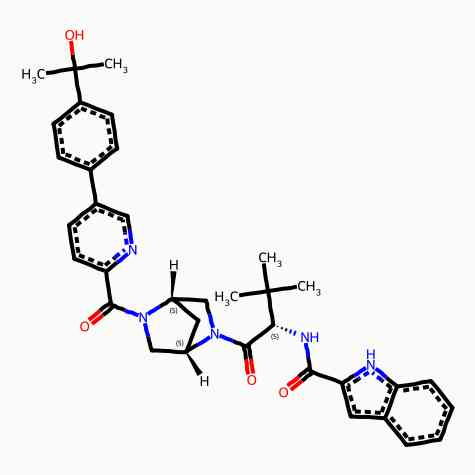 CC(C)(O)c1ccc(-c2ccc(C(=O)N3C[C@@H]4C[C@H]3CN4C(=O)[C@@H](NC(=O)c3cc4ccccc4[nH]3)C(C)(C)C)nc2)cc1